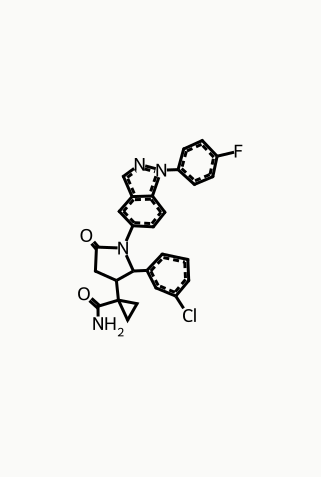 NC(=O)C1(C2CC(=O)N(c3ccc4c(cnn4-c4ccc(F)cc4)c3)C2c2cccc(Cl)c2)CC1